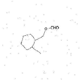 CC1CCCCC1COC=O